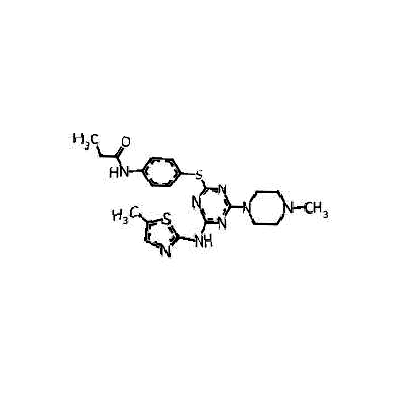 CCC(=O)Nc1ccc(Sc2nc(Nc3ncc(C)s3)nc(N3CCN(C)CC3)n2)cc1